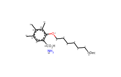 CCCCCCCCCCCCCCCCOc1c(C(=O)O)cc(C)c(C)c1C.N